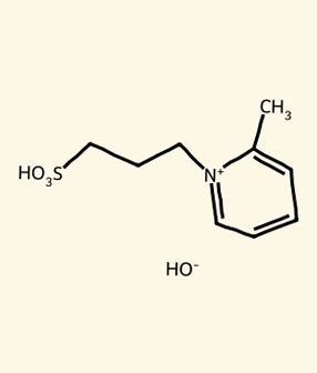 Cc1cccc[n+]1CCCS(=O)(=O)O.[OH-]